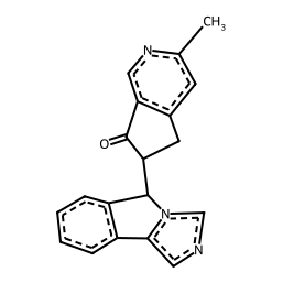 Cc1cc2c(cn1)C(=O)C(C1c3ccccc3-c3cncn31)C2